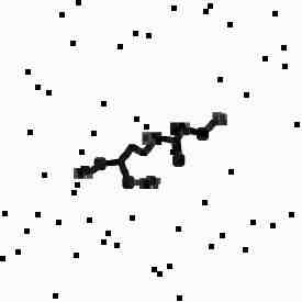 CCCOC(CCNC(=O)NOCC)OCCC